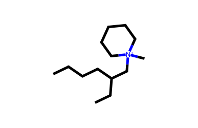 CCCCC(CC)C[N+]1(C)CCCCC1